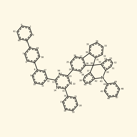 c1ccc(-c2ccc(-c3cccc(-c4nc(-c5ccccc5)nc(-c5ccc6c(c5)C5(c7ccccc7-6)c6ccccc6N(c6ccccc6)c6ccccc65)n4)c3)cc2)cc1